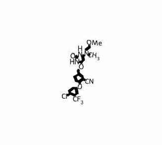 COCCN(C)C1=CC(OCc2ccc(Oc3ccc(Cl)c(C(F)(F)F)c3)c(C#N)c2)NC(=O)N1